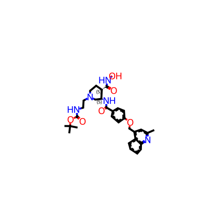 Cc1cc(COc2ccc(C(=O)N[C@@H]3CN(CCNC(=O)OC(C)(C)C)CC[C@@H]3C(=O)NO)cc2)c2ccccc2n1